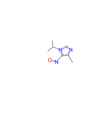 Cc1ncn(C(C)C)c1N=O